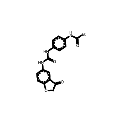 CCC(=O)Nc1ccc(NC(=O)Nc2ccc3c(c2)C(=O)CO3)cc1